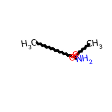 CCCCCC=CCC=CCCCCCCCCOC(CN)OCCCCCCCC